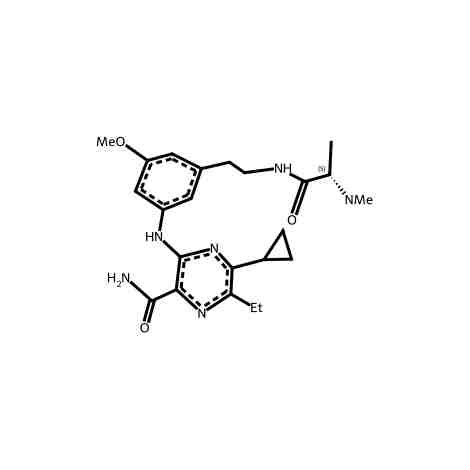 CCc1nc(C(N)=O)c(Nc2cc(CCNC(=O)[C@H](C)NC)cc(OC)c2)nc1C1CC1